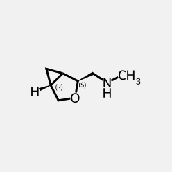 CNC[C@H]1OC[C@@H]2CC21